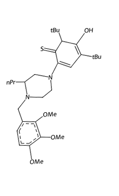 CCCC1CN(C2=CC(C(C)(C)C)=C(O)C(C(C)(C)C)C2=S)CCN1Cc1ccc(OC)c(OC)c1OC